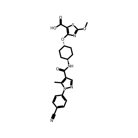 COc1nc(O[C@H]2CC[C@H](NC(=O)c3cnn(-c4ccc(C#N)cc4)c3C)CC2)c(C(=O)O)s1